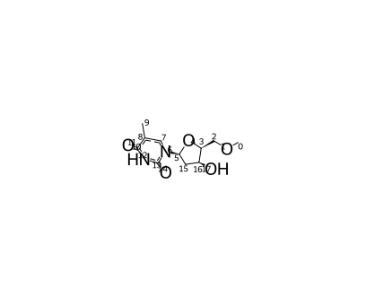 COC[C@@H]1O[C@H](n2cc(C)c(=O)[nH]c2=O)C[C@@H]1O